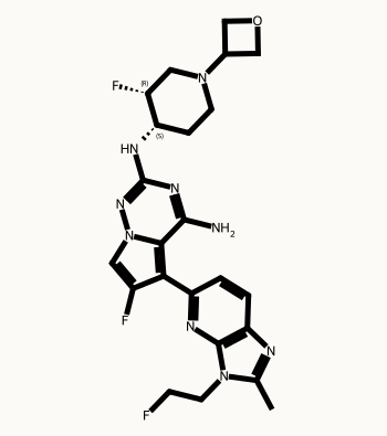 Cc1nc2ccc(-c3c(F)cn4nc(N[C@H]5CCN(C6COC6)C[C@H]5F)nc(N)c34)nc2n1CCF